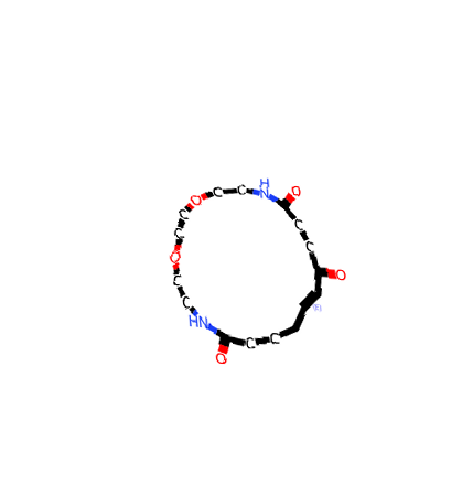 O=C1/C=C/CCCC(=O)NCCOCCOCCNC(=O)CC1